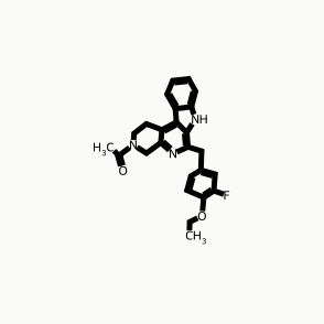 CCOc1ccc(Cc2nc3c(c4c2[nH]c2ccccc24)CCN(C(C)=O)C3)cc1F